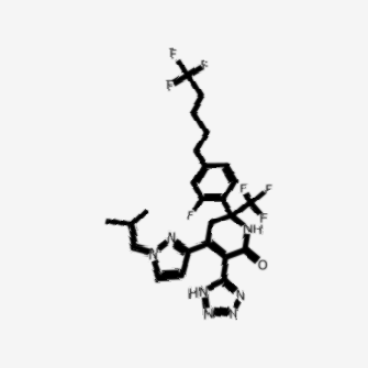 CC(C)Cn1ccc(C2=C(c3nnn[nH]3)C(=O)NC(c3ccc(CCCCC(F)(F)F)cc3F)(C(F)(F)F)C2)n1